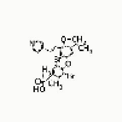 CC(C)c1cc(Oc2c(Br)cc(C(C)(C)C(=O)O)cc2Br)cc(/C=C/c2ccncc2)c1O